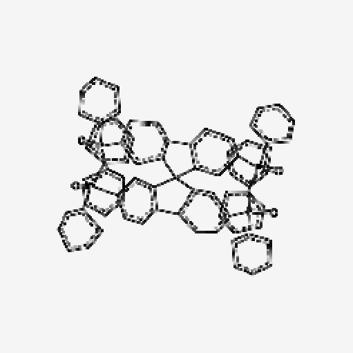 O=P(c1ccccc1)(c1ccccc1)c1ccc2c(c1)C1(c3cc(P(=O)(c4ccccc4)c4ccccc4)ccc3-2)c2cc(P(=O)(c3ccccc3)c3ccccc3)ccc2-c2ccc(P(=O)(c3ccccc3)c3ccccc3)cc21